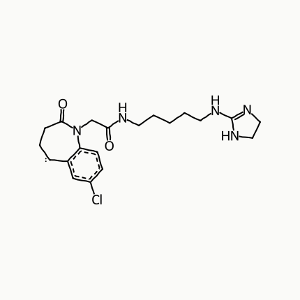 O=C(CN1C(=O)CC[C]c2cc(Cl)ccc21)NCCCCCNC1=NCCN1